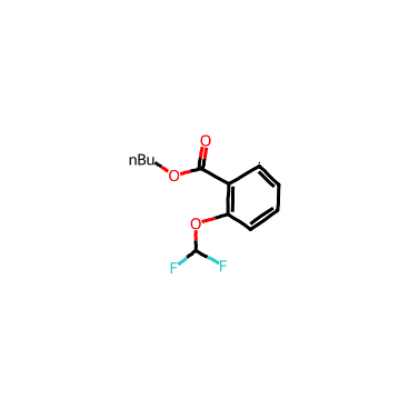 CCCCOC(=O)c1[c]cccc1OC(F)F